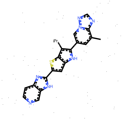 Cc1cc(-c2[nH]c3cc(-c4nc5ccncc5[nH]4)sc3c2C(C)C)cn2ncnc12